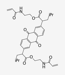 C=CC(=O)NCCOC(=O)C(CC(C)C)c1ccc2c(c1)C(=O)c1ccc(C(CC(C)C)C(=O)OCCNC(=O)C=C)cc1C2=O